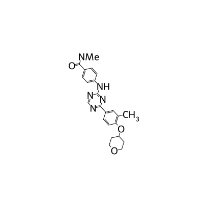 CNC(=O)c1ccc(Nc2ncnc(-c3ccc(OC4CCOCC4)c(C)c3)n2)cc1